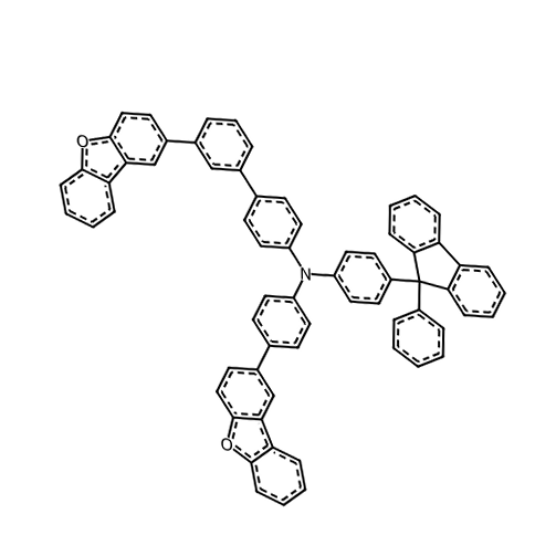 c1ccc(C2(c3ccc(N(c4ccc(-c5cccc(-c6ccc7oc8ccccc8c7c6)c5)cc4)c4ccc(-c5ccc6oc7ccccc7c6c5)cc4)cc3)c3ccccc3-c3ccccc32)cc1